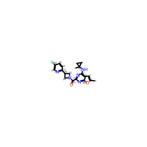 Cc1cc2c(NC3(C)CC3)nc(C(=O)N3CC(c4ccc(F)cn4)C3)nc2o1